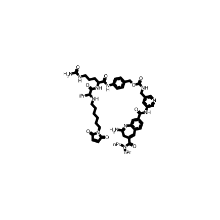 CCCN(CCC)C(=O)C1=Cc2ccc(C(=O)Nc3cncc(CNC(=O)OCc4ccc(NC(=O)C(CCCNC(N)=O)NC(=O)C(NCCCCCCN5C(=O)C=CC5=O)C(C)C)cc4)c3)cc2N=C(N)C1